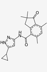 Cc1cc(C)c2c(c1C(=O)Nc1cc(C3CC3)[nH]n1)CC(C)(C)C2=O